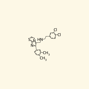 Cc1ccc(-c2nc3sccn3c2CNCCc2ccc(Cl)c(Cl)c2)cc1C